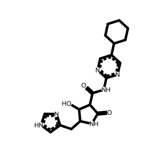 O=C(Nc1ncc(C2CCCCC2)cn1)C1C(=O)NC(Cc2c[nH]cn2)C1O